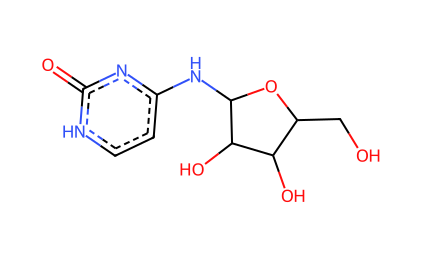 O=c1nc(NC2OC(CO)C(O)C2O)cc[nH]1